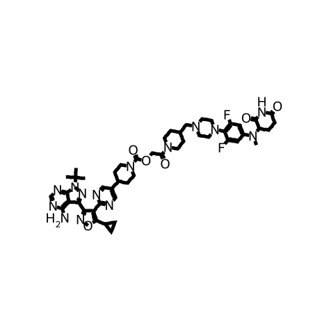 CN(c1cc(F)c(N2CCN(CC3CCN(C(=O)COC(=O)N4CCC(c5cnc(-c6c(-c7nn(C(C)(C)C)c8ncnc(N)c78)noc6C6CC6)nc5)CC4)CC3)CC2)c(F)c1)C1CCC(=O)NC1=O